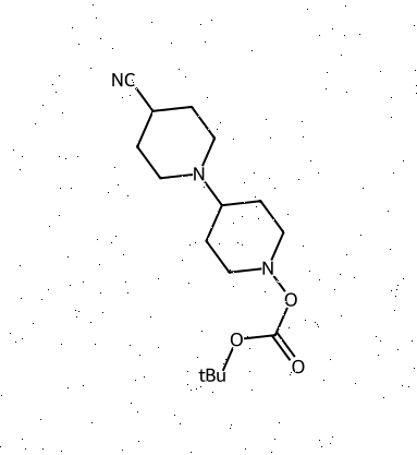 CC(C)(C)OC(=O)ON1CCC(N2CCC(C#N)CC2)CC1